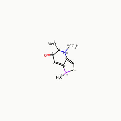 COC1C(=O)C=C2C(=CCI2C)N1C(=O)O